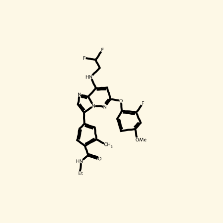 CCNC(=O)c1ccc(-c2cnc3c(NCC(F)F)cc(Oc4ccc(OC)cc4F)nn23)cc1C